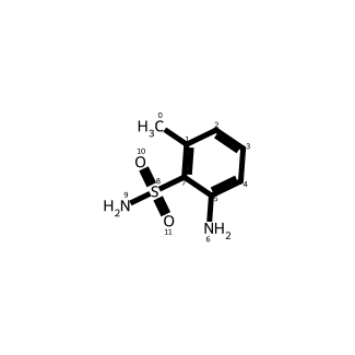 Cc1cccc(N)c1S(N)(=O)=O